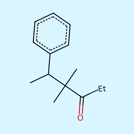 CCC(=O)C(C)(C)C(C)c1ccccc1